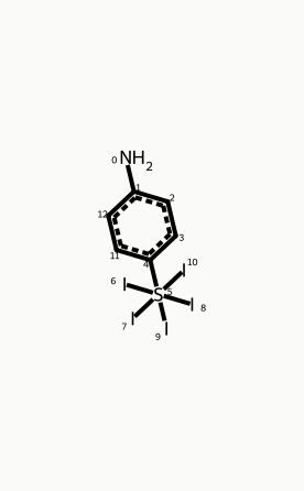 Nc1ccc(S(I)(I)(I)(I)I)cc1